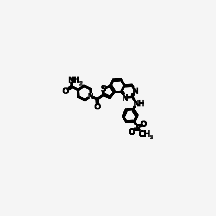 CS(=O)(=O)c1cccc(Nc2ncc3ccc4sc(C(=O)N5CCC(C(N)=O)CC5)cc4c3n2)c1